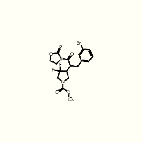 CC(C)(C)OC(=O)N1CC(C(Cc2cccc(Br)c2)C(=O)N2CCOC2=O)C(F)(F)C1